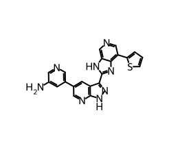 Nc1cncc(-c2cnc3[nH]nc(-c4nc5c(-c6cccs6)cncc5[nH]4)c3c2)c1